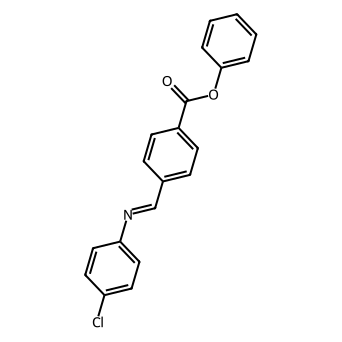 O=C(Oc1ccccc1)c1ccc(C=Nc2ccc(Cl)cc2)cc1